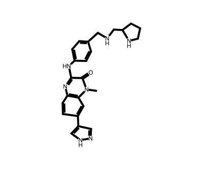 Cn1c(=O)c(Nc2ccc(CNCC3CCCN3)cc2)nc2ccc(-c3cn[nH]c3)cc21